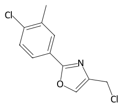 Cc1cc(-c2nc(CCl)co2)ccc1Cl